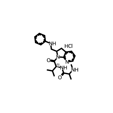 CNC(C)C(=O)N[C@H](C(=O)N1c2ncccc2CC1CNc1ccccc1)C(C)C.Cl